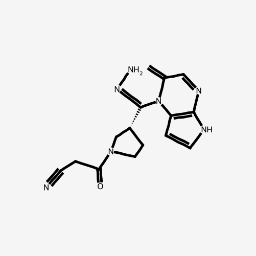 C=C1C=Nc2[nH]ccc2N1/C(=N\N)[C@@H]1CCN(C(=O)CC#N)C1